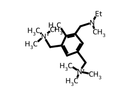 CCN(C)Cc1cc(C[N+](C)(C)C)cc(C[N+](C)(C)C)c1C